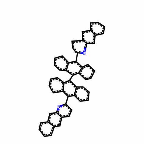 c1ccc2cc3nc(-c4c5ccccc5c(-c5c6ccccc6c(-c6ccc7cc8ccccc8cc7n6)c6ccccc56)c5ccccc45)ccc3cc2c1